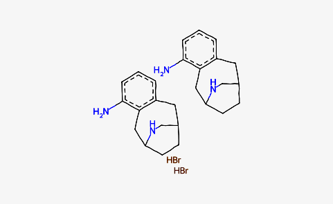 Br.Br.Nc1cccc2c1CC1CCC(CN1)C2.Nc1cccc2c1CC1CCC(CN1)C2